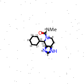 CNC(=O)N1CCc2[nH]cnc2C1C1CCCCC1